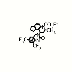 CCOC(=O)N1c2ccc3c(c2C(N(Cc2cc(C(F)(F)F)cc(C(F)(F)F)c2)C(=O)NC)CC1C)CCC3